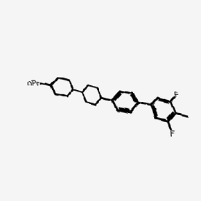 CCCC1CCC(C2CCC(c3ccc(-c4cc(F)c(C)c(F)c4)cc3)CC2)CC1